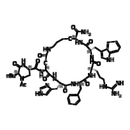 CCCC[C@H]1C(=O)N[C@@H](C(=O)N[C@H]2CC(=O)NCCCC[C@@H](C(N)=O)NC(=O)[C@H](Cc3c[nH]c4ccccc34)NC(=O)[C@H](CCCNC(=N)N)NC(=O)[C@@H](Cc3ccccc3)NC(=O)[C@H](Cc3c[nH]cn3)NC2=O)CN1C(C)=O